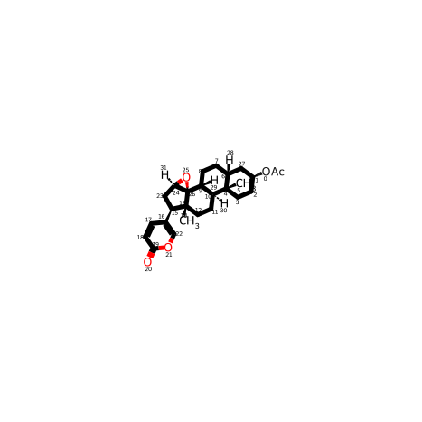 CC(=O)O[C@H]1CC[C@@]2(C)[C@H](CC[C@@H]3[C@@H]2CC[C@]2(C)[C@@H](c4ccc(=O)oc4)C[C@H]4O[C@]342)C1